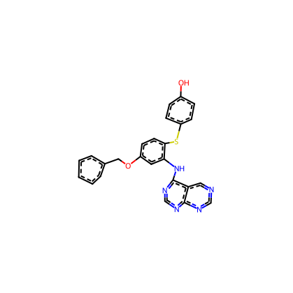 Oc1ccc(Sc2ccc(OCc3ccccc3)cc2Nc2ncnc3ncncc23)cc1